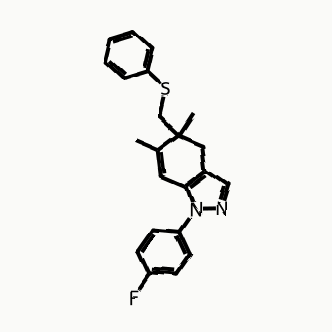 CC1=Cc2c(cnn2-c2ccc(F)cc2)CC1(C)CSc1ccccc1